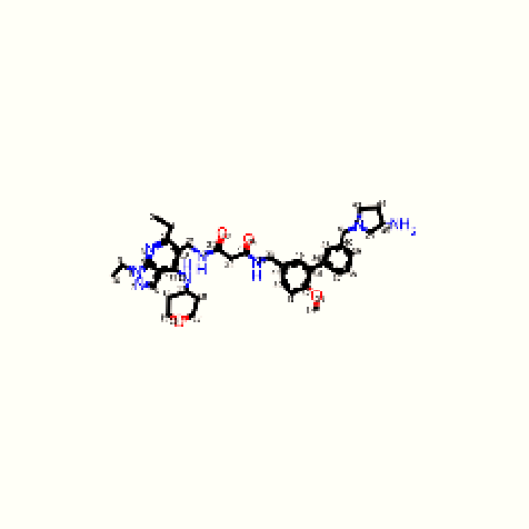 CCc1nc2c(cnn2CC)c(NC2CCOCC2)c1CNC(=O)CC(=O)NCc1ccc(OC)c(-c2cccc(CN3CC[C@H](N)C3)c2)c1